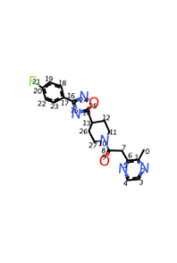 Cc1nccnc1CC(=O)N1CCC(c2nc(-c3ccc(F)cc3)no2)CC1